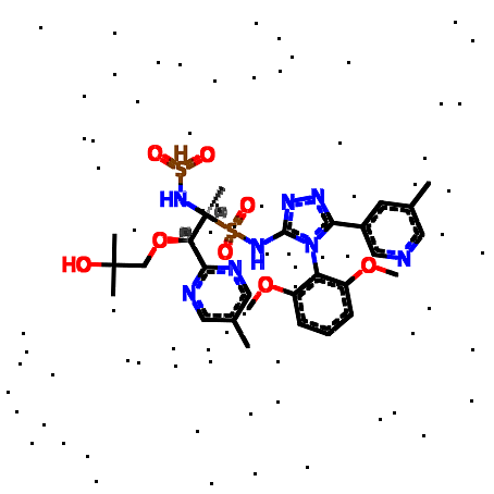 COc1cccc(OC)c1-n1c(NS(=O)(=O)[C@](C)(N[SH](=O)=O)[C@H](OCC(C)(C)O)c2ncc(C)cn2)nnc1-c1cncc(C)c1